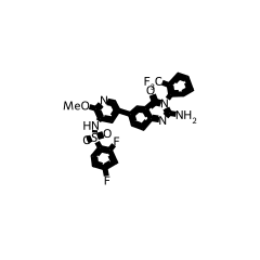 COc1ncc(-c2ccc3nc(N)n(-c4ccccc4C(F)(F)F)c(=O)c3c2)cc1NS(=O)(=O)c1ccc(F)cc1F